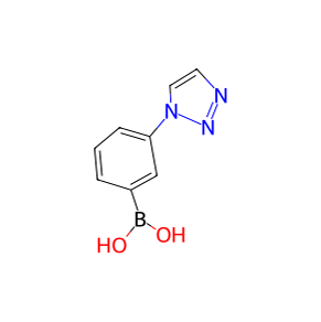 OB(O)c1cccc(-n2ccnn2)c1